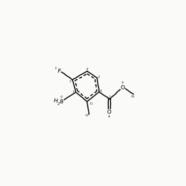 Bc1c(F)ccc(C(=O)OC)c1C